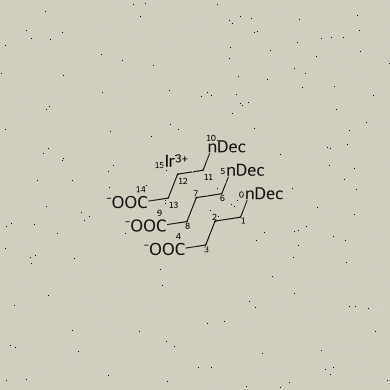 CCCCCCCCCCCCCC(=O)[O-].CCCCCCCCCCCCCC(=O)[O-].CCCCCCCCCCCCCC(=O)[O-].[Ir+3]